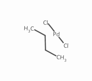 CCCC.[Cl][Pd][Cl]